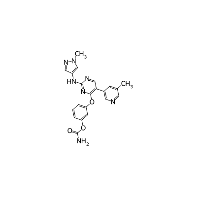 Cc1cncc(-c2cnc(Nc3cnn(C)c3)nc2Oc2cccc(OC(N)=O)c2)c1